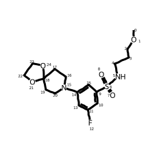 COCCCNS(=O)(=O)c1cc(F)cc(N2CCC3(CC2)OCCO3)c1